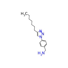 CCCCCCCc1cn(-c2ccc(CN)cc2)nn1